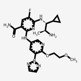 COCCOc1ncc(Nc2nc(N[C@H](C3CC3)[C@H](C)N)c(F)cc2C(N)=O)cc1-n1nccn1